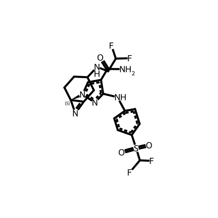 NC(=O)c1cn([C@@]23CCC(NCC(F)F)CC2=N3)nc1Nc1ccc(S(=O)(=O)C(F)F)cc1